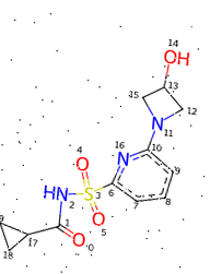 O=C(NS(=O)(=O)c1cccc(N2CC(O)C2)n1)C1CC1